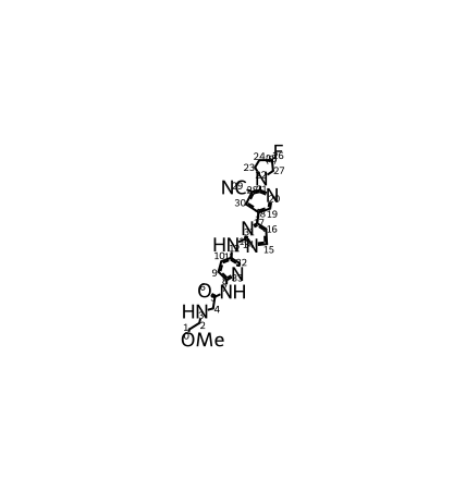 COCCNCC(=O)Nc1ccc(Nc2nccc(-c3cnc(N4CC[C@H](F)C4)c(C#N)c3)n2)cn1